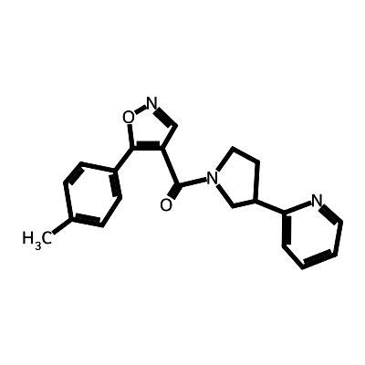 Cc1ccc(-c2oncc2C(=O)N2CCC(c3ccccn3)C2)cc1